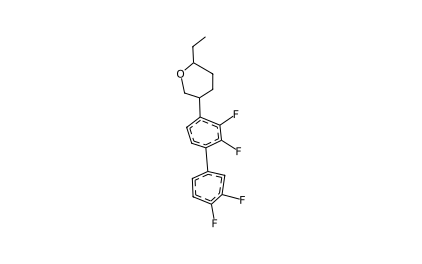 CCC1CCC(c2ccc(-c3ccc(F)c(F)c3)c(F)c2F)CO1